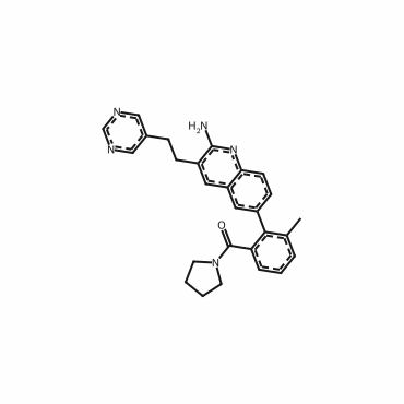 Cc1cccc(C(=O)N2CCCC2)c1-c1ccc2nc(N)c(CCc3cncnc3)cc2c1